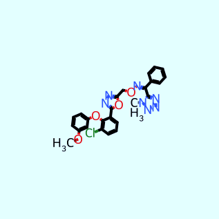 COc1cccc(Oc2c(Cl)cccc2-c2nnc(CO/N=C(/c3ccccc3)c3nnnn3C)o2)c1